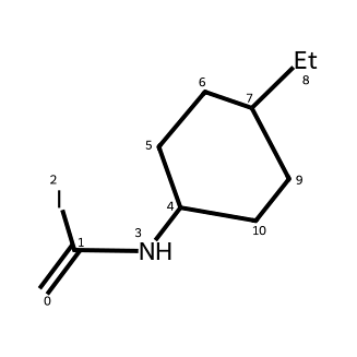 C=C(I)NC1CCC(CC)CC1